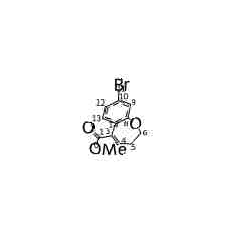 COC(=O)C1=CCCOc2cc(Br)ccc21